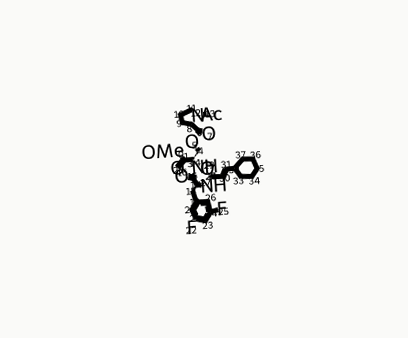 COC(=O)[C@H](COC(=O)C1CCCN1C(C)=O)NC(=O)[C@H](Cc1cc(F)cc(F)c1)NC(=O)/C=C/C1CCCCC1